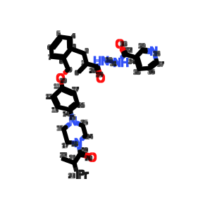 CC(Cc1ccccc1COc1ccc(N2CCN(C(=O)C(C)C(C)C)CC2)cc1)C(=O)NNC(=O)c1cccnc1